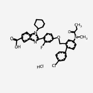 CCC(=O)N(C)c1ccc(-c2ccc(Cl)cc2)c(COc2ccc(-c3nc4cc(C(=O)O)ccc4n3C3CCCCC3)c(F)c2)c1.Cl